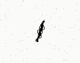 C=CCCCC1CCC(C(=O)Oc2ccc(OC(=O)c3ccc(OCCCCC[C@@H](C)CC)cc3)cc2)CC1